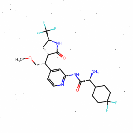 COC[C@@H](c1ccnc(NC(=O)[C@@H](N)C2CCC(F)(F)CC2)c1)[C@@H]1C[C@@H](C(F)(F)F)NC1=O